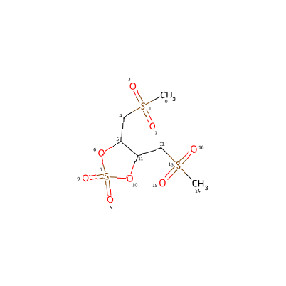 CS(=O)(=O)CC1OS(=O)(=O)OC1CS(C)(=O)=O